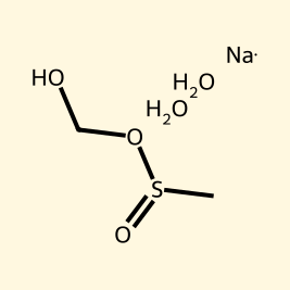 CS(=O)OCO.O.O.[Na]